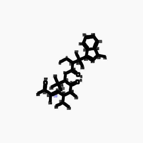 CCC(C(=O)CC(C(=O)C(C)C(/C=C(\C)C(C)=O)C(C)C)C(C)(C)C)C(C)(C)C1=CC(C)c2ccccc21